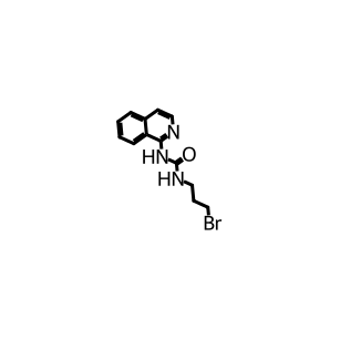 O=C(NCCCBr)Nc1nccc2ccccc12